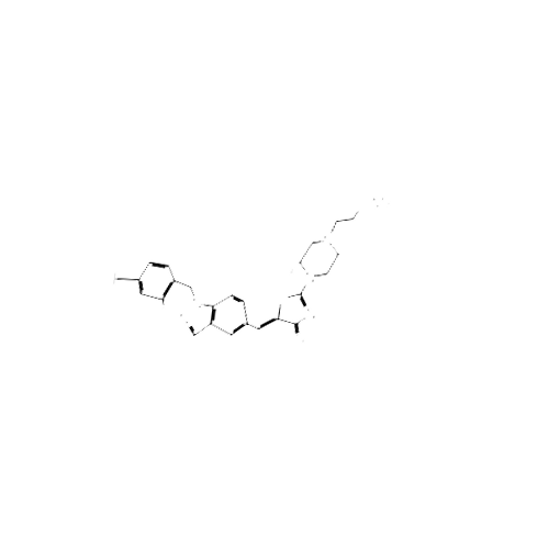 COCCN1CCN(C2=NC(=O)/C(=C/c3ccc4c(cnn4Cc4ccc(Cl)cc4C(F)(F)F)c3)S2)[C@H](C)C1